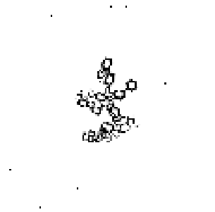 Cc1cc2c3c(c1)N(c1cccc4c1sc1ccccc14)c1cc(N4c5ccc(C(C)(C)C)cc5C5(C)CCCCC45C)ccc1B3c1ccc(-c3ccccc3)cc1N2c1ccc2c(c1)oc1ccccc12